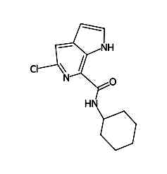 O=C(NC1CCCCC1)c1nc(Cl)cc2cc[nH]c12